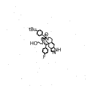 CC(C)(C)c1ccc(S(=O)(=O)N2CCC3=Cc4[nH]ncc4CC3([C@@H](NCCO)c3ccc(F)cc3)C2)cc1